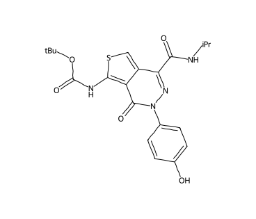 CC(C)NC(=O)c1nn(-c2ccc(O)cc2)c(=O)c2c(NC(=O)OC(C)(C)C)scc12